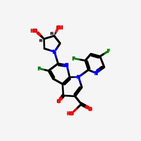 O=C(O)c1cn(-c2ncc(F)cc2F)c2nc(N3C[C@@H](O)[C@H](O)C3)c(F)cc2c1=O